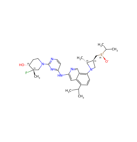 CC(C)c1ccc(N2C[C@H](C[S@+]([O-])C(C)C)[C@H]2C)c2cnc(Nc3ccnc(N4CC[C@@H](O)[C@@](C)(F)C4)n3)cc12